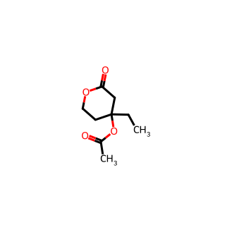 CCC1(OC(C)=O)CCOC(=O)C1